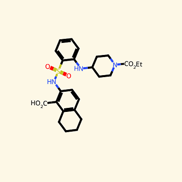 CCOC(=O)N1CCC(Nc2ccccc2S(=O)(=O)Nc2ccc3c(c2C(=O)O)CCCC3)CC1